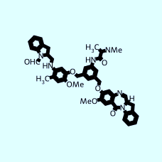 CNC(C)C(=O)Nc1cc(COc2cc3c(cc2OC)C(=O)N2c4ccccc4C[C@H]2C=N3)cc(COc2cc(NCC3Cc4ccccc4N3C=O)c(C)cc2OC)c1